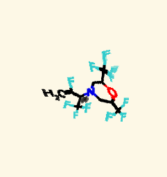 C=C(F)[C@@H](N1CC(C(F)(F)F)OC(C(F)(F)F)C1)C(F)(F)F